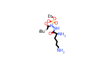 CCOS(=O)(=O)N(NC(=O)[C@@H](N)CCCCN)C(=O)C[C@@H](C)CC